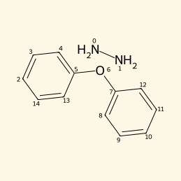 NN.c1ccc(Oc2ccccc2)cc1